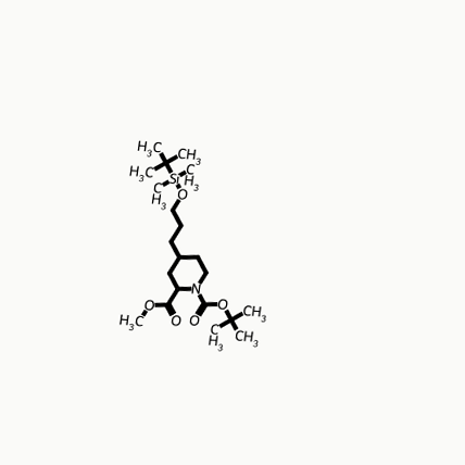 COC(=O)C1CC(CCCO[Si](C)(C)C(C)(C)C)CCN1C(=O)OC(C)(C)C